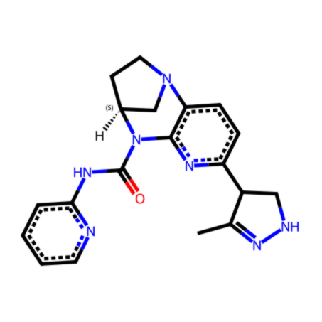 CC1=NNCC1c1ccc2c(n1)N(C(=O)Nc1ccccn1)[C@H]1CCN2C1